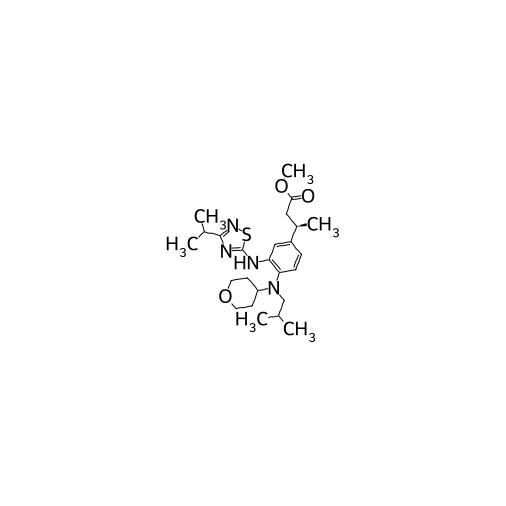 COC(=O)C[C@@H](C)c1ccc(N(CC(C)C)C2CCOCC2)c(Nc2nc(C(C)C)ns2)c1